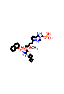 COC(CCc1ccc2c(=N)n(COP(O)O)cnn12)COP(=O)(N[C@@H](C)C(=O)OC1CC2(CCC2)C1)Oc1cccc2ccccc12